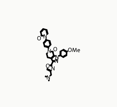 COc1ccc(-n2nc(-c3nc(CN(C)C)co3)c3c2C(=O)N(c2ccc(-n4ccccc4=O)cc2)CC3)cc1